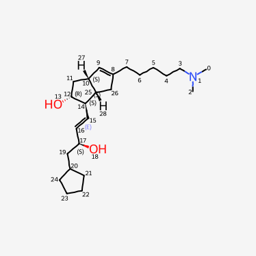 CN(C)CCCCCC1=C[C@H]2C[C@@H](O)[C@H](/C=C/[C@@H](O)CC3CCCC3)[C@H]2C1